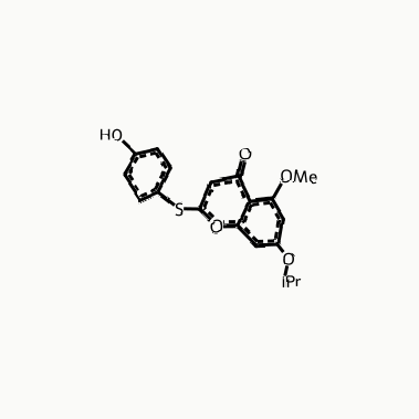 COc1cc(OC(C)C)cc2oc(Sc3ccc(O)cc3)cc(=O)c12